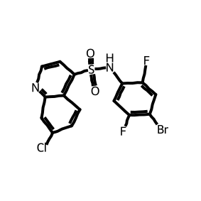 O=S(=O)(Nc1cc(F)c(Br)cc1F)c1ccnc2cc(Cl)ccc12